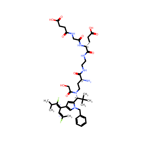 C/C(F)=C\C(=C(\F)C(C)C)c1cc([C@H](N(CC[C@H](N)C(=O)NCCNC(=O)[C@@H](CCC(=O)O)NC(=O)CNC(=O)CCC(=O)O)C(=O)CO)C(C)(C)C)n(Cc2ccccc2)c1